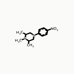 CC1CN(c2ccc([N+](=O)[O-])cc2)CC(C)N1C